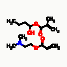 C=C(C)C(=O)OC(O)CCC.C=CC(=O)OCCN(C)C